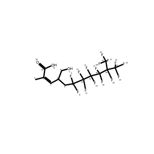 CC(=CC(CO)CC(F)(F)C(F)(F)C(F)(F)C(F)(F)C(F)(C(F)(F)F)C(F)(F)F)C(=O)O